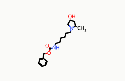 C[C@@H]1C[C@@H](O)CN1CCCCCCNC(=O)OCc1ccccc1